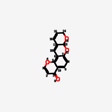 O=c1ccoc2c3c(ccc12)OC1OCC=CC1=C3